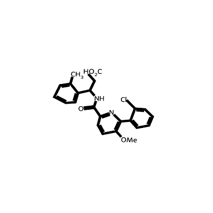 COc1ccc(C(=O)NC(CC(=O)O)c2ccccc2C)nc1-c1ccccc1Cl